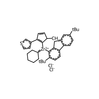 CC1C=CC(c2ccsc2)=[C]1[Zr+2](=[C]1CCCCC1)[c]1c(C(C)(C)C)ccc2c1Cc1cc(C(C)(C)C)ccc1-2.[Cl-].[Cl-]